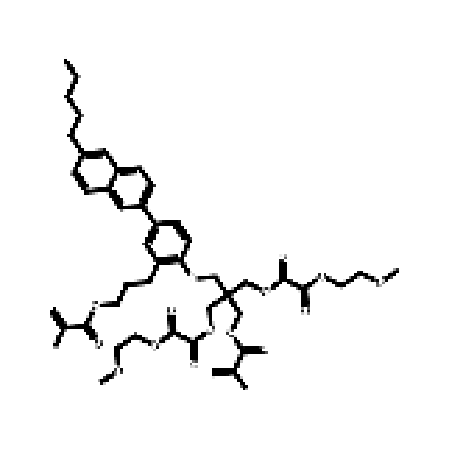 C=C(C)C(=O)OCCCc1cc(-c2ccc3cc(CCCCC)ccc3c2)ccc1OCC(COC(=O)C(=C)C)(COC(=O)C(=O)OCCOC)COC(=O)C(=O)OCCOC